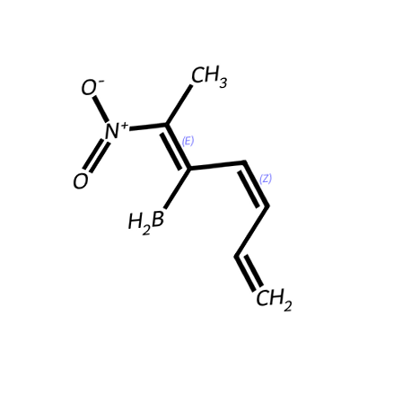 BC(/C=C\C=C)=C(/C)[N+](=O)[O-]